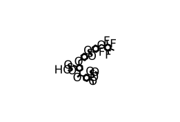 COc1ccc(C(=O)c2ccc(Oc3ccc(S(=O)(=O)c4ccc(Oc5c(F)c(F)c(C)c(F)c5F)cc4)cc3)c(CS(=O)(=O)O)c2)cc1S(=O)(=O)OC